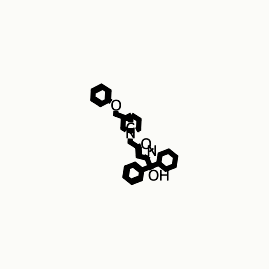 OC(c1ccccc1)(c1cc(C[N+]23CCC(CC2)C(COc2ccccc2)C3)on1)C1CCCCC1